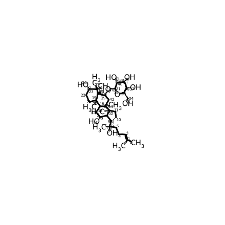 CC(C)=CCC[C@](C)(O)[C@H]1CC[C@]2(C)C1[C@H](O)CC1[C@@]3(C)CC[C@H](O)C(C)(C)[C@@H]3[C@@H](O[C@@H]3O[C@H](CO)[C@@H](O)[C@H](O)[C@H]3O)C[C@]12C